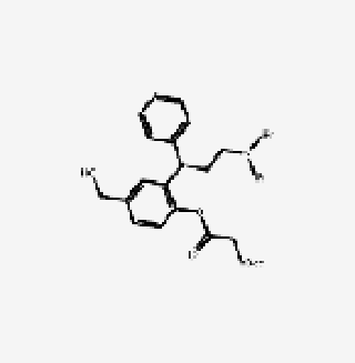 CCCCCCCCCCCC(=O)Oc1ccc(CO)cc1[C@H](CCN(C(C)C)C(C)C)c1ccccc1